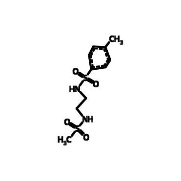 Cc1ccc(S(=O)(=O)NCCNS(C)(=O)=O)cc1